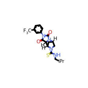 CC(C)CNC(=S)N1C[C@@H]2C[C@H]1[C@@H]1C(=O)N(c3cccc(C(F)(F)F)c3)C(=O)N21